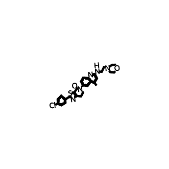 Cc1cc(NCCN2CCOCC2)nc2ccc(N3CCc4nc(-c5ccc(Cl)cc5)sc4C3=O)cc12